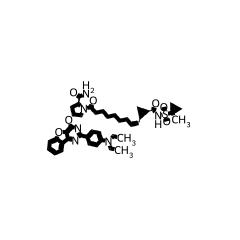 CCN(CC)c1ccc(-c2nc(O[C@@H]3C[C@@H](C(N)=O)N(C(=O)CCCCCC/C=C\[C@@H]4C[C@@H]4C(=O)NS(=O)(=O)C4(C)CC4)C3)c3oc4ccccc4c3n2)cc1